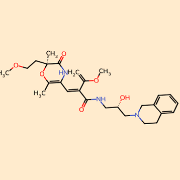 C=C(OC)/C(=C\C1=C(C)O[C@@](C)(CCOC)C(=O)N1)C(=O)NC[C@H](O)CN1CCc2ccccc2C1